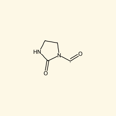 O=[C]N1CCNC1=O